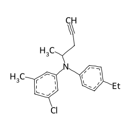 C#CCC(C)N(c1ccc(CC)cc1)c1cc(C)cc(Cl)c1